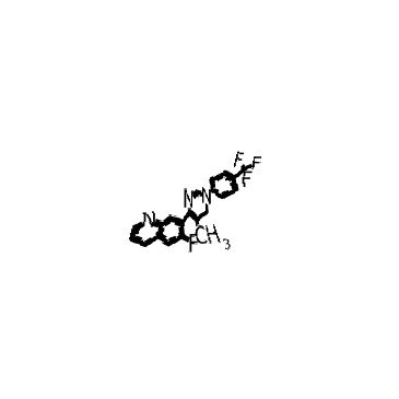 CC1=C(c2cc3ncccc3cc2F)N=CN(c2ccc(C(F)(F)F)cc2)C1